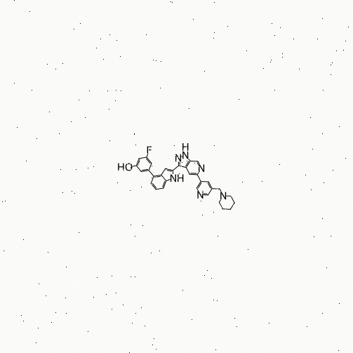 Oc1cc(F)cc(-c2cccc3[nH]c(-c4n[nH]c5cnc(-c6cncc(CN7CCCCC7)c6)cc45)cc23)c1